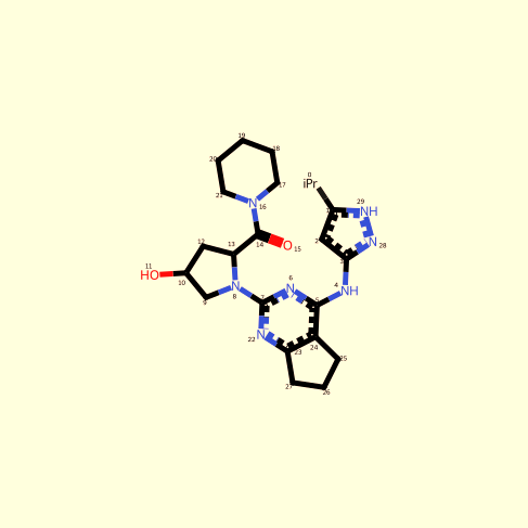 CC(C)c1cc(Nc2nc(N3CC(O)CC3C(=O)N3CCCCC3)nc3c2CCC3)n[nH]1